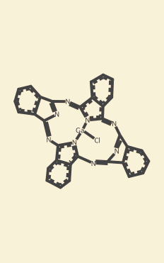 [Cl][Ga]1[n]2c3c4ccccc4c2N=C2N=C(N=c4c5ccccc5c([n]41)=NC1=NC(=N3)c3ccccc31)c1ccccc12